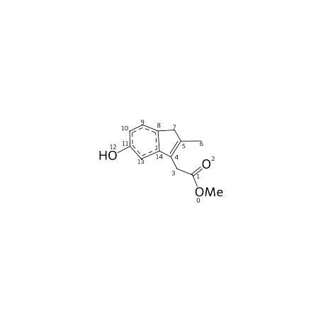 COC(=O)CC1=C(C)Cc2ccc(O)cc21